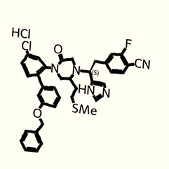 CSCCC1CN(c2cc(Cl)ccc2-c2cccc(OCc3ccccc3)c2)C(=O)CN1[C@@H](Cc1ccc(C#N)c(F)c1)c1cnc[nH]1.Cl